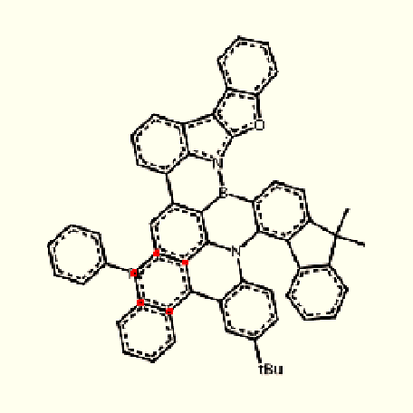 CC(C)(C)c1ccc(N2c3cc(N(c4ccccc4)c4ccccc4)cc4c3B(c3ccc5c(c32)-c2ccccc2C5(C)C)n2c3oc5ccccc5c3c3cccc-4c32)c(-c2ccccc2)c1